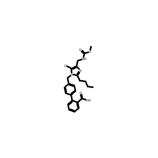 CCCCc1nc(CNC(=O)OC)c(Cl)n1Cc1ccc(-c2ccccc2C(=O)O)cc1